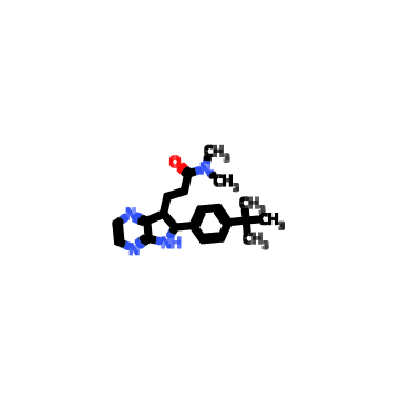 CN(C)C(=O)CCC1c2nccnc2NC1c1ccc(C(C)(C)C)cc1